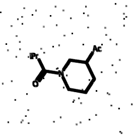 CC(=O)C1CCCN(C(=O)C(C)C)C1